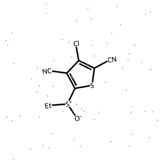 CC[S+]([O-])c1sc(C#N)c(Cl)c1C#N